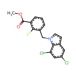 COC(=O)c1cccc(Cn2ccc3cc(Cl)cc(Cl)c32)c1F